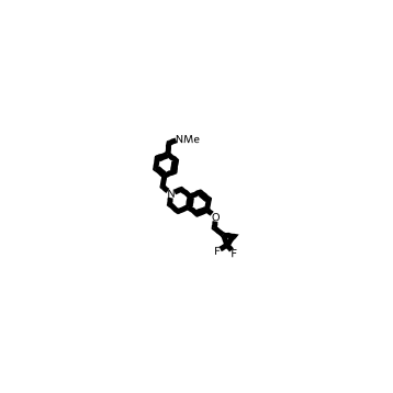 CNCc1ccc(CN2CCc3cc(OCC4CC4(F)F)ccc3C2)cc1